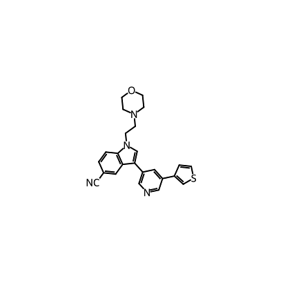 N#Cc1ccc2c(c1)c(-c1cncc(-c3ccsc3)c1)cn2CCN1CCOCC1